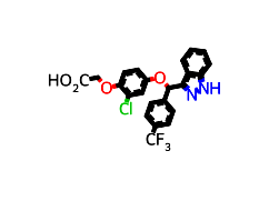 O=C(O)COc1ccc(OC(c2ccc(C(F)(F)F)cc2)c2n[nH]c3ccccc23)cc1Cl